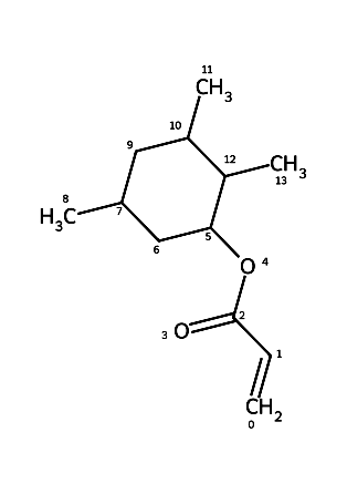 C=CC(=O)OC1CC(C)CC(C)C1C